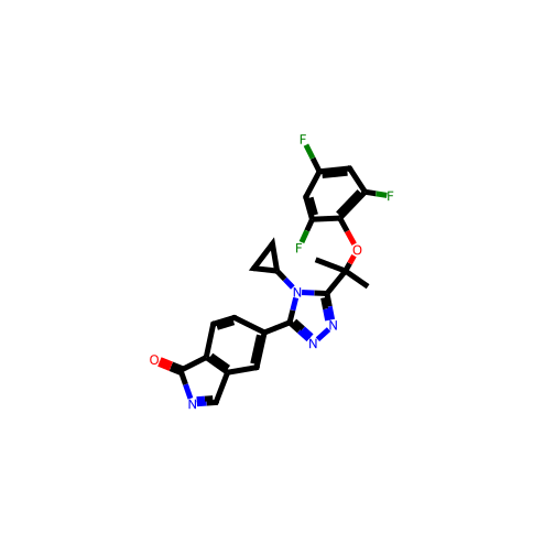 CC(C)(Oc1c(F)cc(F)cc1F)c1nnc(-c2ccc3c(c2)C=NC3=O)n1C1CC1